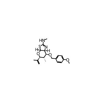 C=C(C)[C@H]1O[C@@H]2SC(NC)=N[C@@H]2[C@@H](OCc2ccc(OC)cc2)[C@@H]1C